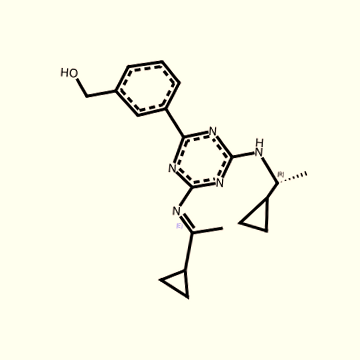 C/C(=N\c1nc(N[C@H](C)C2CC2)nc(-c2cccc(CO)c2)n1)C1CC1